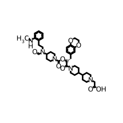 CNc1ccccc1CCN(C=O)C1CCN(C(=O)O[C@H](Cc2ccc3c(c2)OCCO3)C(=O)N2CCC(C3CCN(CC(=O)O)CC3)CC2)CC1